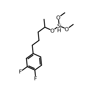 CO[SiH](OC)OC(C)CCCc1ccc(F)c(F)c1